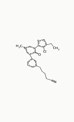 CCc1csc(-c2cn(C)cc(-c3cccc(CCCCC#N)c3)c2=O)c1Cl